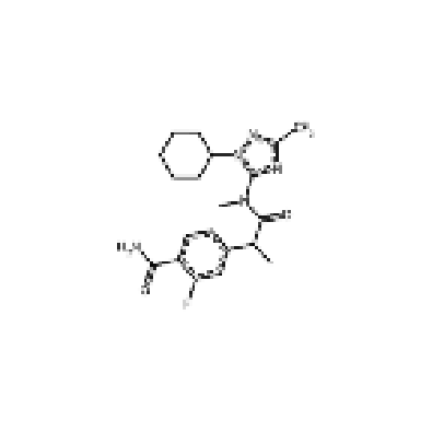 CC(C(=O)N(C)c1nc(C(F)(F)F)nn1C1CCCCC1)c1ccc(C(N)=O)c(F)c1